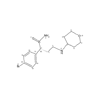 NC(=O)[C@H](CCNC1CCOCC1)c1ccc(Br)cc1